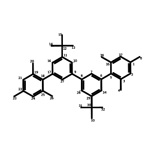 Cc1cc(C)c(-c2cc(-c3[c]c(C(C)(C)C)cc(-c4c(C)cc(C)cc4C)c3)[c]c(C(C)(C)C)c2)c(C)c1